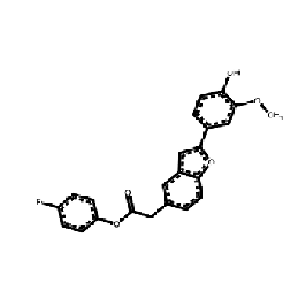 COc1cc(-c2cc3cc(CC(=O)Oc4ccc(F)cc4)ccc3o2)ccc1O